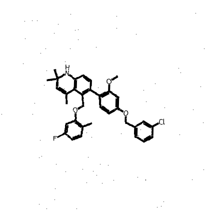 COc1cc(OCc2cccc(Cl)c2)ccc1-c1ccc2c(c1COc1cc(F)ccc1C)C(C)=CC(C)(C)N2